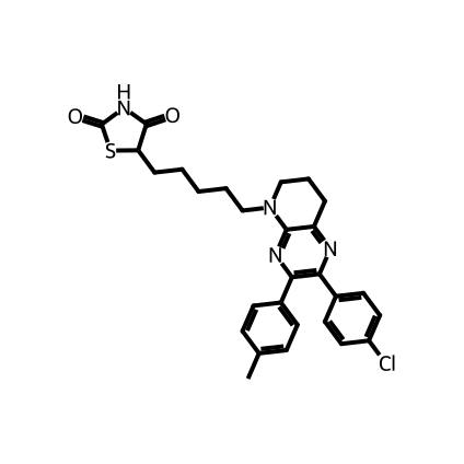 Cc1ccc(-c2nc3c(nc2-c2ccc(Cl)cc2)CCCN3CCCCCC2SC(=O)NC2=O)cc1